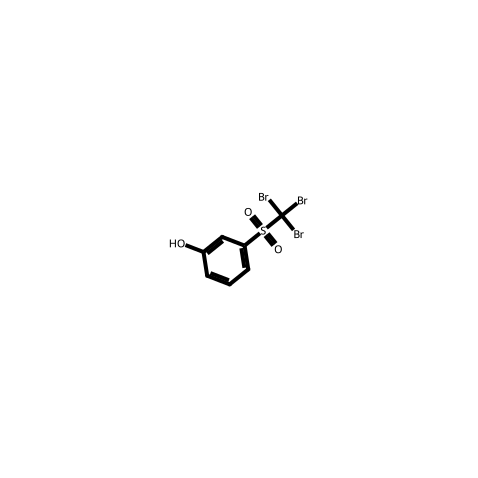 O=S(=O)(c1cccc(O)c1)C(Br)(Br)Br